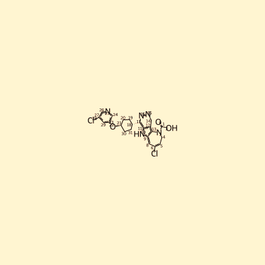 O=C(O)N1CC=C(Cl)C=c2[nH]c3c(c21)CN=NC=3[C@H]1CC[C@H](Oc2cncc(Cl)c2)CC1